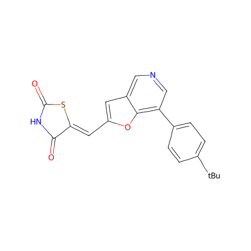 CC(C)(C)c1ccc(-c2cncc3cc(/C=C4\SC(=O)NC4=O)oc23)cc1